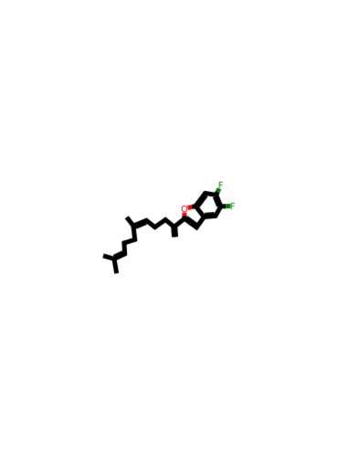 C=C(CCC=C(C)CCC=C(C)C)c1cc2cc(F)c(F)cc2o1